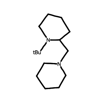 CC(C)(C)N1CCCCC1CN1CCCCC1